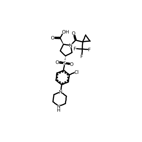 O=C(O)[C@@H]1C[C@@H](S(=O)(=O)c2ccc(N3CCNCC3)cc2Cl)CN1C(=O)C1(C(F)(F)F)CC1